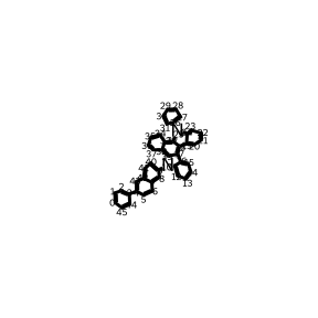 c1ccc(-c2ccc3cc(-n4c5ccccc5c5c6c7ccccc7n(-c7ccccc7)c6c6ccccc6c54)ccc3c2)cc1